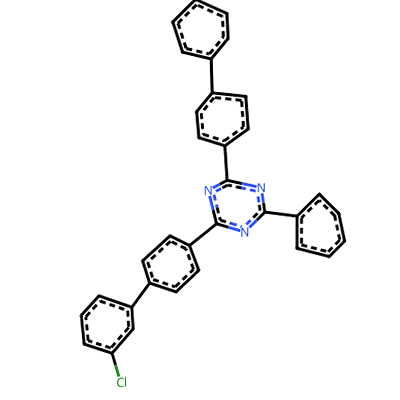 Clc1cccc(-c2ccc(-c3nc(-c4ccccc4)nc(-c4ccc(-c5ccccc5)cc4)n3)cc2)c1